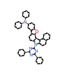 c1ccc(-c2nc(-c3ccccc3)nc(-n3c4ccc5ccccc5c4c4c5oc6ccc(N(c7ccccc7)c7ccccc7)cc6c5ccc43)n2)cc1